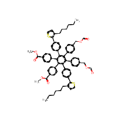 CCCCCCc1ccsc1-c1ccc(-c2c(-c3ccc(COC=O)cc3)c(-c3ccc(COC=O)cc3)c(-c3ccc(-c4sccc4CCCCCC)cc3)c(-c3ccc(C(=O)OC)cc3)c2-c2ccc(C(=O)OC)cc2)cc1